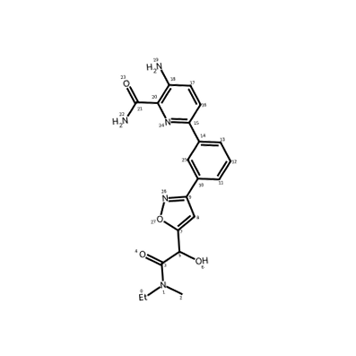 CCN(C)C(=O)C(O)c1cc(-c2cccc(-c3ccc(N)c(C(N)=O)n3)c2)no1